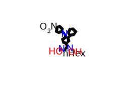 CCCCCCC(=NO)C(=NO)c1ccc2c(c1)c1ccccc1n2-c1ccc([N+](=O)[O-])cc1